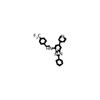 FC(F)(F)c1ccc(CCNc2cc(-c3ccncc3)cc3nc(-c4ccccc4)nn23)cc1